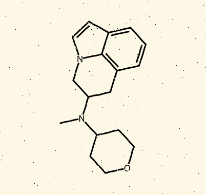 CN(C1CCOCC1)C1Cc2cccc3ccn(c23)C1